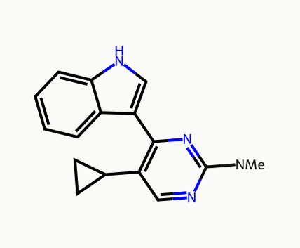 CNc1ncc(C2CC2)c(-c2c[nH]c3ccccc23)n1